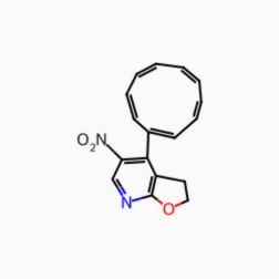 O=[N+]([O-])c1cnc2c(c1-c1ccccccccc1)CCO2